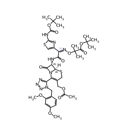 COc1ccc(Cn2nnnc2C2=C(COC(C)=O)CS[C@@H]3[C@H](NC(=O)/C(=N\OC(C)(C)C(=O)OC(C)(C)C)c4csc(NC(=O)OC(C)(C)C)n4)C(=O)N23)c(OC)c1